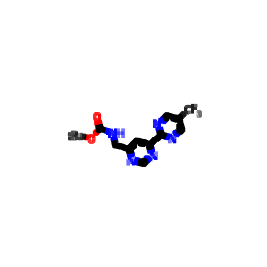 CC(C)(C)OC(=O)NCc1cc(-c2ncc(C(F)(F)F)cn2)ncn1